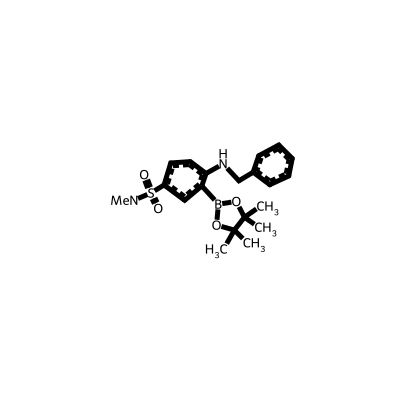 CNS(=O)(=O)c1ccc(NCc2ccccc2)c(B2OC(C)(C)C(C)(C)O2)c1